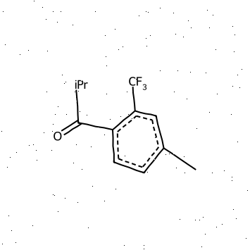 Cc1ccc(C(=O)C(C)C)c(C(F)(F)F)c1